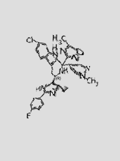 Cc1nc(C2(c3cnn(C)c3)N[C@@H](c3nnc(-c4ccc(F)cc4)[nH]3)Cc3c2[nH]c2cc(Cl)ccc32)no1